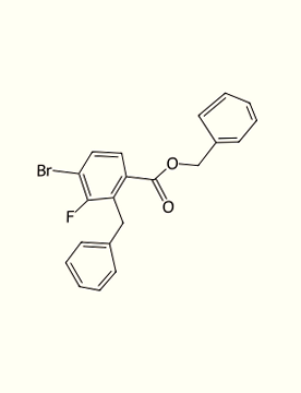 O=C(OCc1ccccc1)c1ccc(Br)c(F)c1Cc1ccccc1